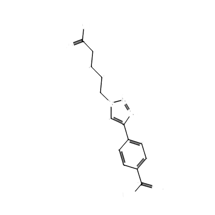 CC(=O)CCCCn1cc(-c2ccc(C(C)=O)cc2)nn1